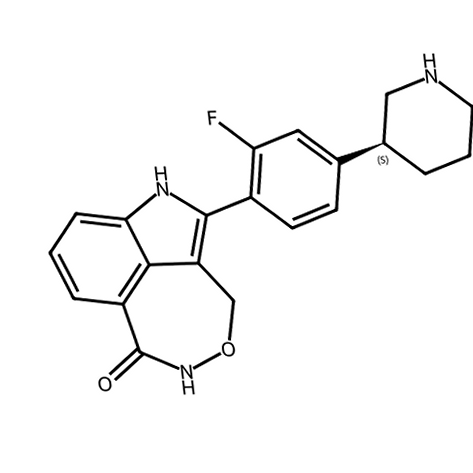 O=C1NOCc2c(-c3ccc([C@@H]4CCCNC4)cc3F)[nH]c3cccc1c23